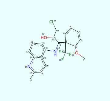 COC1C=CC=C[C@@]1(C(Nc1cccc2nc(C)ccc12)C(O)CCl)C(F)(F)F